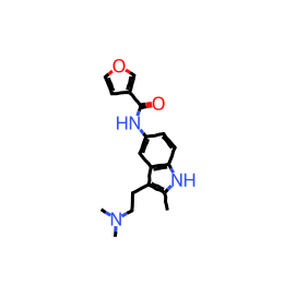 Cc1[nH]c2ccc(NC(=O)c3ccoc3)cc2c1CCN(C)C